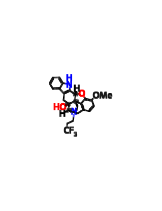 COc1ccc2c3c1O[C@H]1c4[nH]c5ccccc5c4C[C@@]4(O)[C@@H](C2)N(CCC(F)(F)F)CC[C@]314